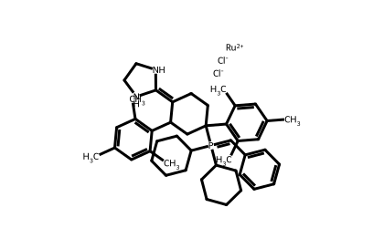 Cc1cc(C)c(C2CC(c3c(C)cc(C)cc3C)(P(=Cc3ccccc3)(C3CCCCC3)C3CCCCC3)CCC2=C2NCCN2)c(C)c1.[Cl-].[Cl-].[Ru+2]